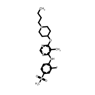 CCCCN1CCC(Oc2ncnc(Nc3ccc(S(C)(=O)=O)cc3F)c2C)CC1